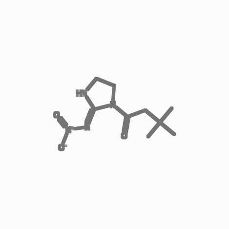 CC(C)(C)CC(=O)N1CCNC1=N[N+](=O)[O-]